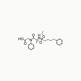 CCOP(=O)(CCCCc1ccccc1)N[C@@H](C)C(=O)N(CC(=O)O)c1ccccc1